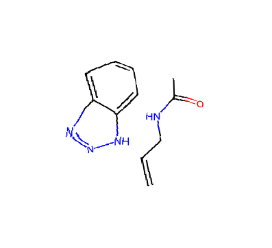 C=CCNC(C)=O.c1ccc2[nH]nnc2c1